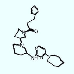 O=C(CCc1ccccc1)N1CCCC(N2CCCC(Nc3nccc(N4CCCCCC4)n3)C2)C1